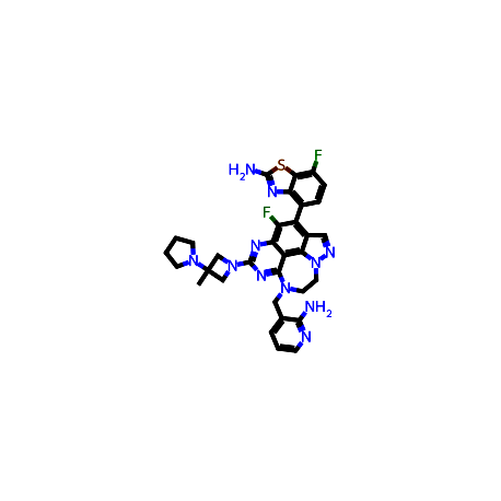 CC1(N2CCCC2)CN(c2nc3c4c(n2)c(F)c(-c2ccc(F)c5sc(N)nc25)c2cnn(c24)CCN3Cc2cccnc2N)C1